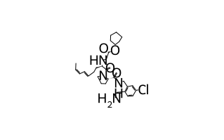 C/C=C\C=C\CC[C@@H](NCC(=O)OC1CCCCC1)C(=O)N1CCC[C@H]1C(=O)NCc1cc(Cl)ccc1CN